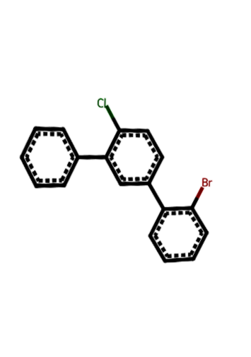 Clc1ccc(-c2ccccc2Br)cc1-c1ccccc1